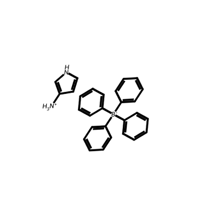 [NH3+]c1cc[nH]c1.c1ccc([B-](c2ccccc2)(c2ccccc2)c2ccccc2)cc1